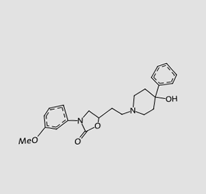 COc1cccc(N2CC(CCN3CCC(O)(c4ccccc4)CC3)OC2=O)c1